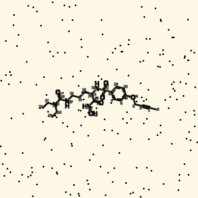 CC#CCOc1ccc(S(=O)(=O)N[C@H](CCCNC(=O)N(CC)CC)C(=O)NO)cc1